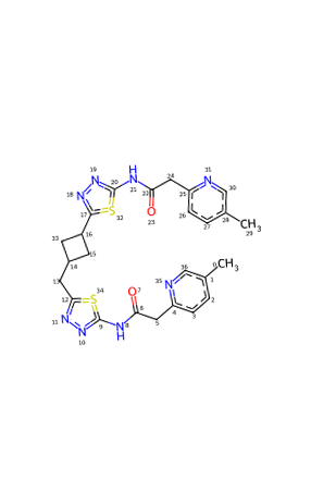 Cc1ccc(CC(=O)Nc2nnc(CC3CC(c4nnc(NC(=O)Cc5ccc(C)cn5)s4)C3)s2)nc1